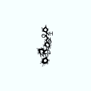 O=C(NC1CCCC1)C1=NOC2(CCN(C(=O)c3cccnc3Oc3ccccc3)CC2)C1